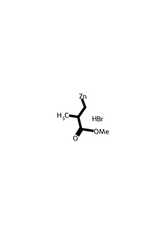 Br.COC(=O)C(C)[CH2][Zn]